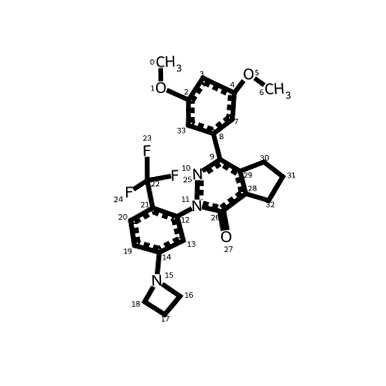 COc1cc(OC)cc(-c2nn(-c3cc(N4CCC4)ccc3C(F)(F)F)c(=O)c3c2CCC3)c1